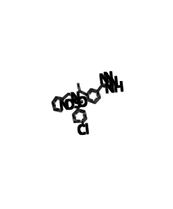 CC(c1cccc(-c2nnn[nH]2)c1)N(Cc1ccccn1)S(=O)(=O)c1ccc(Cl)cc1